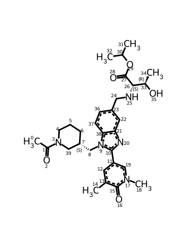 CC(=O)N1CCC[C@H](Cn2c(-c3cc(C)c(=O)n(C)c3)nc3cc(CN[C@H](C(=O)OC(C)C)[C@@H](C)O)ccc32)C1